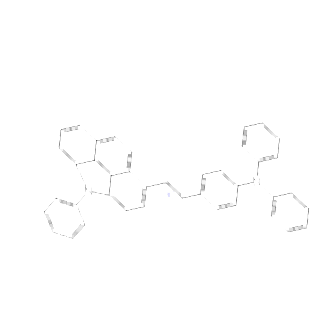 C(=C\c1ccc2c3c1ccc1cccc(c13)n2-c1ccccc1)/c1ccc(N(c2ccccc2)c2ccccc2)cc1